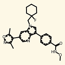 CONC(=O)c1ccc(-c2cn(CC3(F)CCCCC3)c3cc(-c4c(C)noc4C)cnc23)cc1